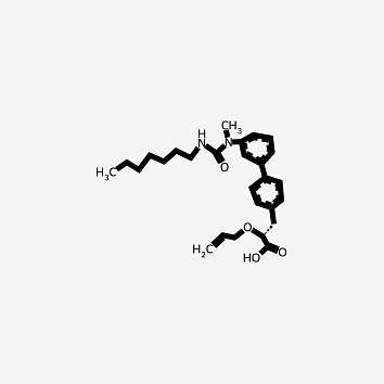 C=CCO[C@H](Cc1ccc(-c2cccc(N(C)C(=O)NCCCCCCC)c2)cc1)C(=O)O